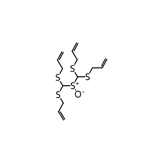 C=CCSC(SCC=C)[S+]([O-])C(SCC=C)SCC=C